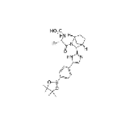 CC(C)[C@H](NC(=O)O)C(=O)N1[C@@H]2CC[C@@H](C2)[C@H]1c1ncc(-c2ccc(B3OC(C)(C)C(C)(C)O3)cc2)[nH]1